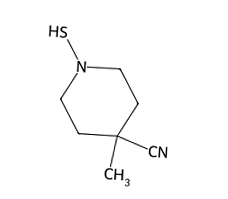 CC1(C#N)CCN(S)CC1